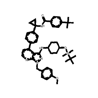 COc1ccc(Cn2nc(NC3CCC(O[Si](C)(C)C(C)(C)C)CC3)c3c(-c4ccc(C5(NC(=O)c6ccc(C(C)(C)C)cc6)CC5)cc4)ccnc32)cc1